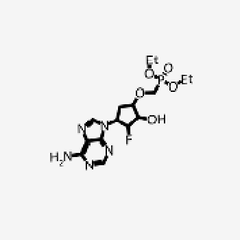 CCOP(=O)(COC1CC(n2cnc3c(N)ncnc32)C(F)C1O)OCC